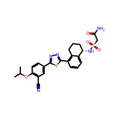 CC(C)Oc1ccc(-c2nnc(-c3cccc4c3CCC[C@@H]4NS(=O)(=O)CC(N)=O)s2)cc1C#N